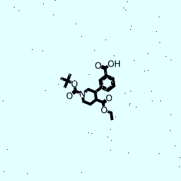 CCOC(=O)C1CCN(C(=O)OC(C)(C)C)CC1c1cccc(C(=O)O)c1